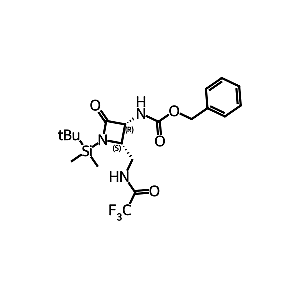 CC(C)(C)[Si](C)(C)N1C(=O)[C@H](NC(=O)OCc2ccccc2)[C@@H]1CNC(=O)C(F)(F)F